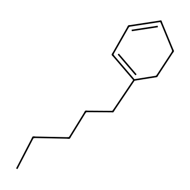 CCCCCC1=CC=CCC1